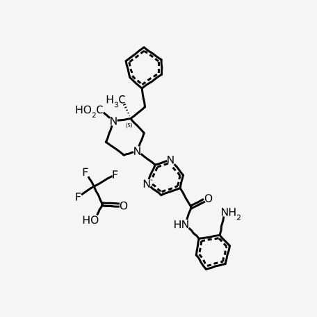 C[C@]1(Cc2ccccc2)CN(c2ncc(C(=O)Nc3ccccc3N)cn2)CCN1C(=O)O.O=C(O)C(F)(F)F